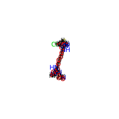 COc1cc2c(cc1-c1c(C)noc1C)ncc1c2n(C(C)c2ccccn2)c(=O)n1CC(=O)NCCOCCOCCOCCOCCNC(=O)CC1N=C(c2ccc(Cl)cc2)c2c(sc(C)c2C)-n2c(C)nnc21